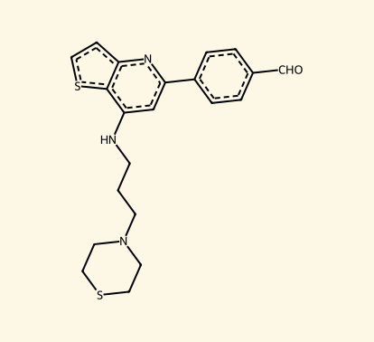 O=Cc1ccc(-c2cc(NCCCN3CCSCC3)c3sccc3n2)cc1